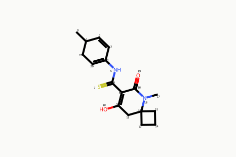 CC1C=CC(NC(=S)C2=C(O)CC3(CCC3)N(C)C2=O)=CC1